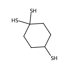 SC1CCC(S)(S)CC1